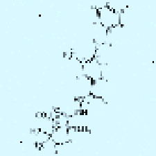 CC1(C)OCC(C)(C(=O)NNC(=O)c2ccc(OCc3ccccc3)c(C(F)(F)F)c2)N1C(=O)O